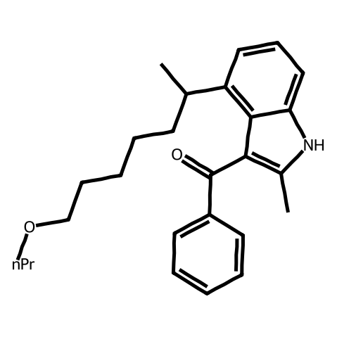 CCCOCCCCCC(C)c1cccc2[nH]c(C)c(C(=O)c3ccccc3)c12